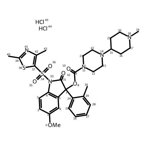 COc1ccc2c(c1)C(OC(=O)N1CCN(C3CCN(C)CC3)CC1)(c1ccccc1C)C(=O)N2S(=O)(=O)c1sc(C)nc1C.Cl.Cl